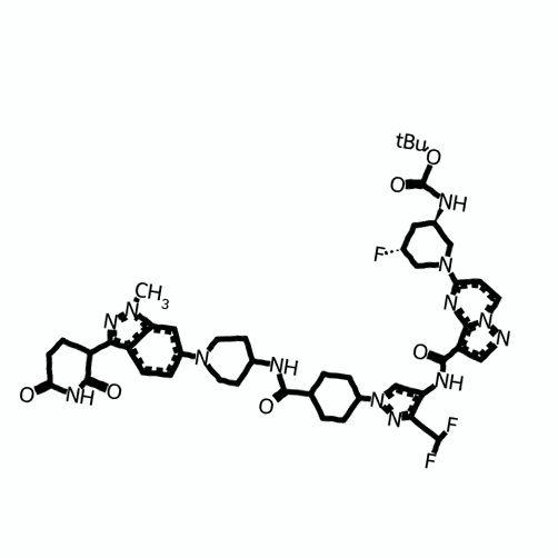 Cn1nc(C2CCC(=O)NC2=O)c2ccc(N3CCC(NC(=O)C4CCC(n5cc(NC(=O)c6cnn7ccc(N8C[C@H](F)C[C@@H](NC(=O)OC(C)(C)C)C8)nc67)c(C(F)F)n5)CC4)CC3)cc21